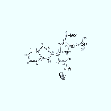 CCCCCCC1=Cc2c(-c3ccc4ccccc4c3)cc(C(C)C)cc2[CH]1[Zr+2][Si](C)C.[Cl-].[Cl-]